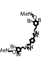 CNCCOc1c(Br)cc(CCn2cc(-c3ccc(-c4cn(CCc5cc(Br)c(OCCNC)c(Br)c5)nn4)cc3)nn2)cc1Br